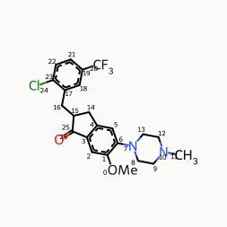 COc1cc2c(cc1N1CCN(C)CC1)CC(Cc1cc(C(F)(F)F)ccc1Cl)C2=O